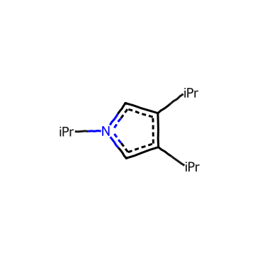 CC(C)c1cn(C(C)C)cc1C(C)C